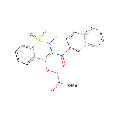 COC(=O)COC1=C(C(=O)c2ccc3ccccc3c2)N(C)S(=O)(=O)c2ccccc21